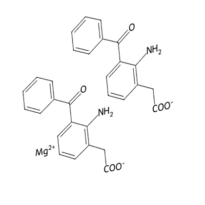 Nc1c(CC(=O)[O-])cccc1C(=O)c1ccccc1.Nc1c(CC(=O)[O-])cccc1C(=O)c1ccccc1.[Mg+2]